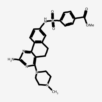 COC(=O)c1ccc(S(=O)(=O)Nc2ccc3c(c2)CCc2c-3nc(N)nc2N2CCN(C)CC2)cc1